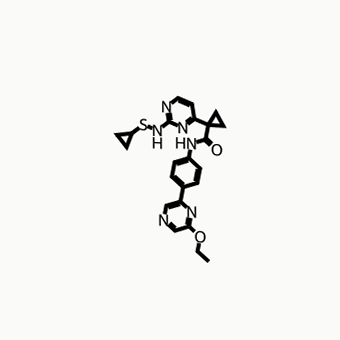 CCOc1cncc(-c2ccc(NC(=O)C3(c4ccnc(NSC5CC5)n4)CC3)cc2)n1